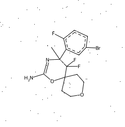 CC1(c2cc(Br)ccc2F)N=C(N)OC2(CCOCC2)C1(F)F